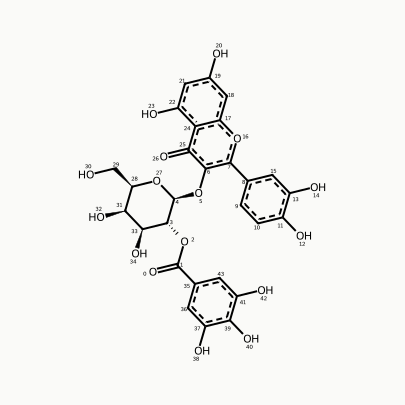 O=C(O[C@H]1[C@H](Oc2c(-c3ccc(O)c(O)c3)oc3cc(O)cc(O)c3c2=O)O[C@H](CO)[C@H](O)[C@@H]1O)c1cc(O)c(O)c(O)c1